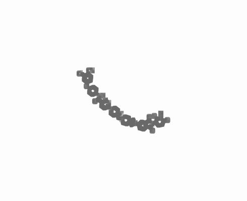 N#Cc1ccc(O[C@H]2CC[C@H](NC(=O)c3ccc(N4CCC(F)(CN5CCC6(CC5)CN(c5ccc7c(c5)C(=O)N(C5CCC(=O)NC5=O)C7=O)C6)CC4)nn3)CC2)cc1Cl